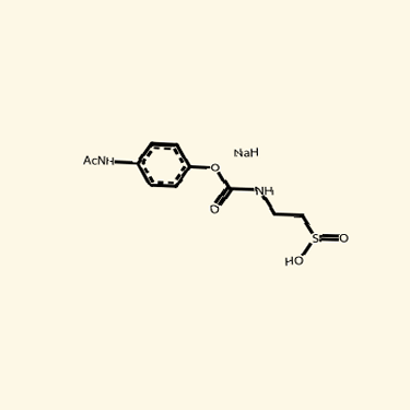 CC(=O)Nc1ccc(OC(=O)NCCS(=O)O)cc1.[NaH]